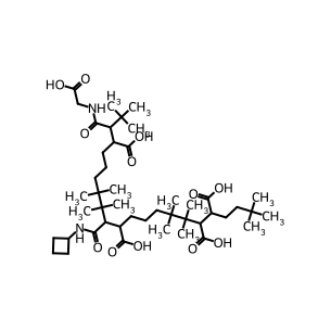 CC(C)(C)CCC(C(=O)O)C(C(=O)O)C(C)(C)C(C)(C)CCCC(C(=O)O)C(C(=O)NC1CCC1)C(C)(C)C(C)(C)CCCC(C(=O)O)C(C(=O)NCC(=O)O)C(C)(C)C